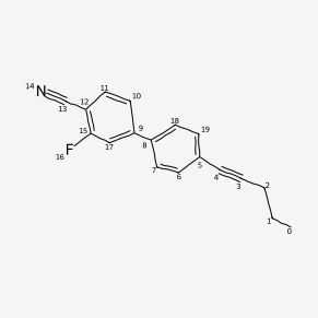 CCCC#Cc1ccc(-c2ccc(C#N)c(F)c2)cc1